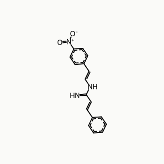 N=C(C=Cc1ccccc1)NC=Cc1ccc([N+](=O)[O-])cc1